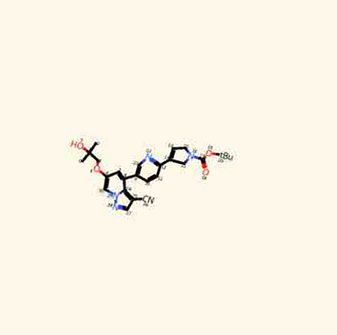 CC(C)(O)COc1cc(-c2ccc(C3=CCN(C(=O)OC(C)(C)C)C3)nc2)c2c(C#N)cnn2c1